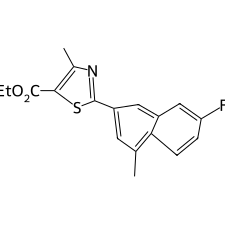 CCOC(=O)c1sc(-c2cc(C)c3ccc(F)cc3c2)nc1C